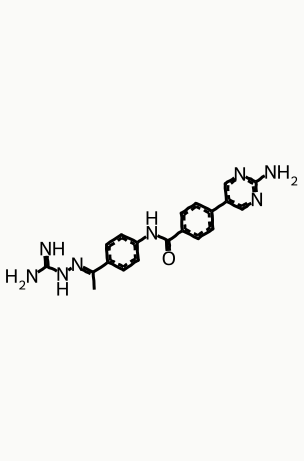 C/C(=N\NC(=N)N)c1ccc(NC(=O)c2ccc(-c3cnc(N)nc3)cc2)cc1